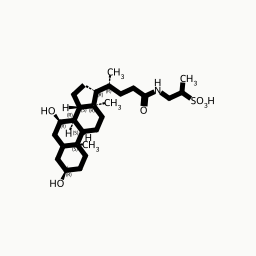 CC(CNC(=O)CC[C@@H](C)[C@H]1CC[C@H]2[C@@H]3[C@H](O)CC4C[C@H](O)CC[C@]4(C)[C@H]3CC[C@]12C)S(=O)(=O)O